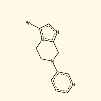 Brc1cnc2n1CCN(c1cccnc1)C2